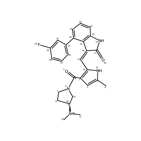 Cc1cc(C(=O)N2CC[C@H](N(C)C)C2)c(C=C2C(=O)Nc3cccc(-c4cccc(F)c4)c32)[nH]1